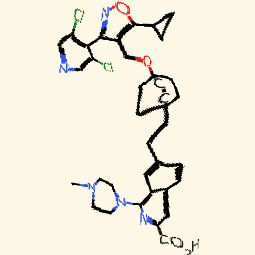 CN1CCN(c2nc(C(=O)O)cc3ccc(C=CC45CCC(OCc6c(-c7c(Cl)cncc7Cl)noc6C6CC6)(CC4)CC5)cc23)CC1